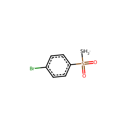 O=S(=O)([SiH2])c1ccc(Br)cc1